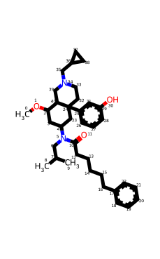 COC1CC(N(CC(C)C)C(=O)CCCCCc2ccccc2)CC2(c3cccc(O)c3)CCN(CC3CC3)CC12